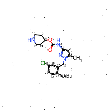 Cc1cc(NC(=O)OC2CCNCC2)nn1Cc1cc(Cl)ccc1OCC(C)C